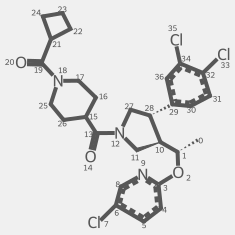 C[C@H](Oc1ccc(Cl)cn1)[C@H]1CN(C(=O)C2CCN(C(=O)C3CCC3)CC2)C[C@@H]1c1ccc(Cl)c(Cl)c1